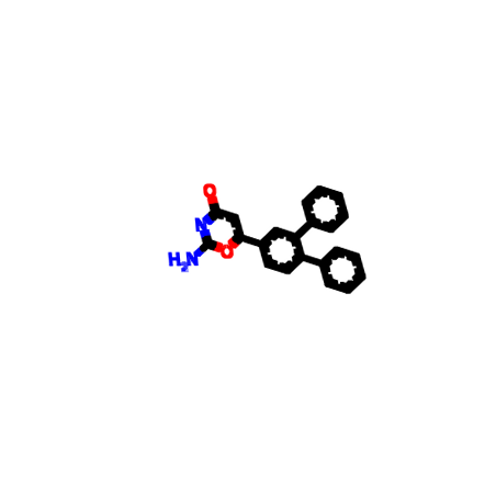 Nc1nc(=O)cc(-c2ccc(-c3ccccc3)c(-c3ccccc3)c2)o1